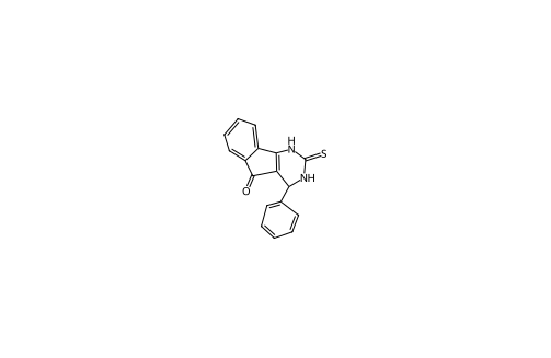 O=C1C2=C(NC(=S)NC2c2ccccc2)c2ccccc21